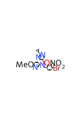 COc1ccc(N(Cc2ccc(Br)c([N+](=O)[O-])c2)C(=O)c2cnc(C3CC3)nc2)cn1